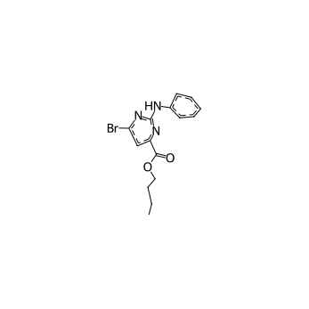 CCCCOC(=O)c1cc(Br)nc(Nc2ccccc2)n1